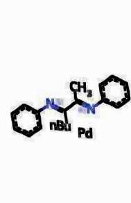 CCCCC(=N\c1ccccc1)/C(C)=N/c1ccccc1.[Pd]